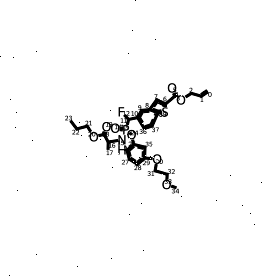 C=CCOC(=O)c1cc2cc(C(F)P(=O)(NC(C)C(=O)OCCC)Oc3cccc(OCCOC)c3)ccc2s1